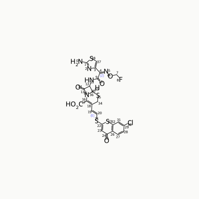 Nc1nc(/C(=N/OCF)C(=O)NC2C(=O)N3C(C(=O)O)=C(/C=C/Sc4cc(=O)c5ccc(Cl)cc5s4)CS[C@H]23)cs1